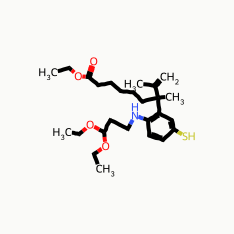 C=C(C)C(C)(CCCCCC(=O)OCC)c1cc(S)ccc1NCCC(OCC)OCC